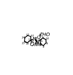 COC1(N=NC2(OC=O)CCCCC2)CCCCC1